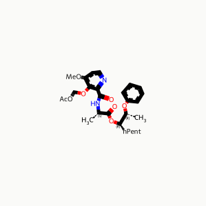 CCCCC[C@@H](OC(=O)[C@H](C)NC(=O)c1nccc(OC)c1OCOC(C)=O)[C@@H](C)Oc1ccccc1